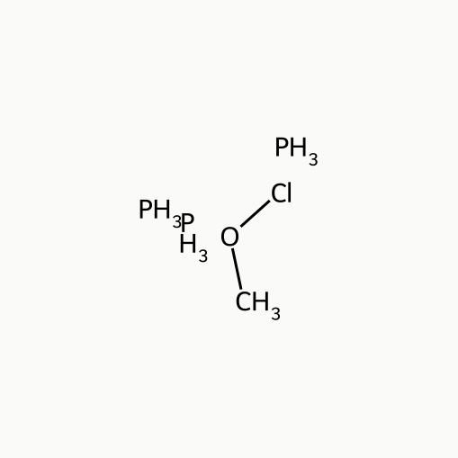 COCl.P.P.P